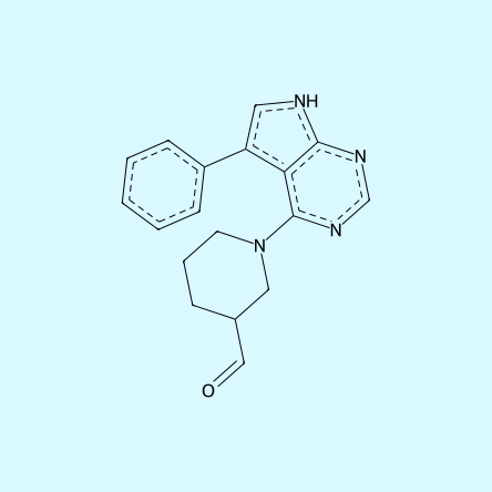 O=CC1CCCN(c2ncnc3[nH]cc(-c4ccccc4)c23)C1